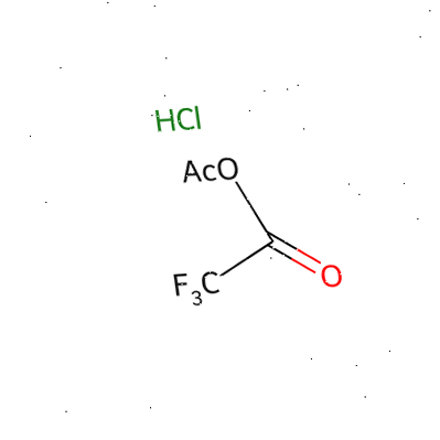 CC(=O)OC(=O)C(F)(F)F.Cl